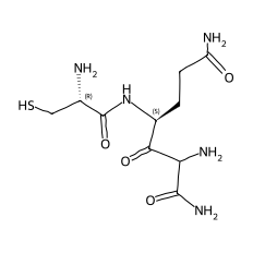 NC(=O)CC[C@H](NC(=O)[C@@H](N)CS)C(=O)C(N)C(N)=O